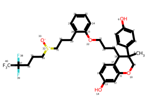 CC1(c2ccc(O)cc2)COc2cc(O)ccc2C1CCCOc1ccccc1CCC[S+]([O-])CCCC(F)(F)C(F)(F)F